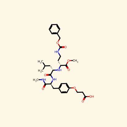 CNC(=O)[C@H](Cc1ccc(OCCC(=O)O)cc1)NC(=O)[C@H](CC(C)C)N[C@H](CCNC(=O)OCc1ccccc1)C(=O)OC